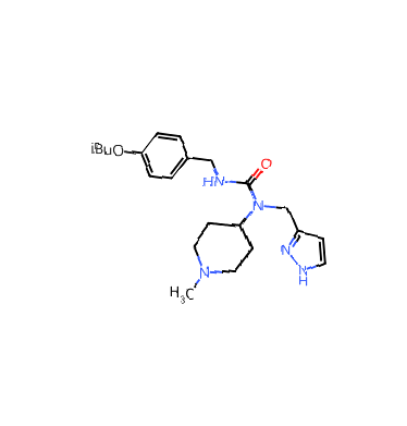 CC(C)COc1ccc(CNC(=O)N(Cc2cc[nH]n2)C2CCN(C)CC2)cc1